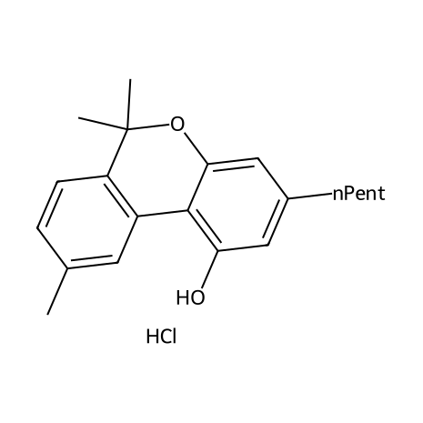 CCCCCc1cc(O)c2c(c1)OC(C)(C)c1ccc(C)cc1-2.Cl